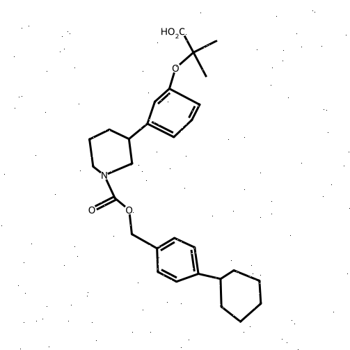 CC(C)(Oc1cccc(C2CCCN(C(=O)OCc3ccc(C4CCCCC4)cc3)C2)c1)C(=O)O